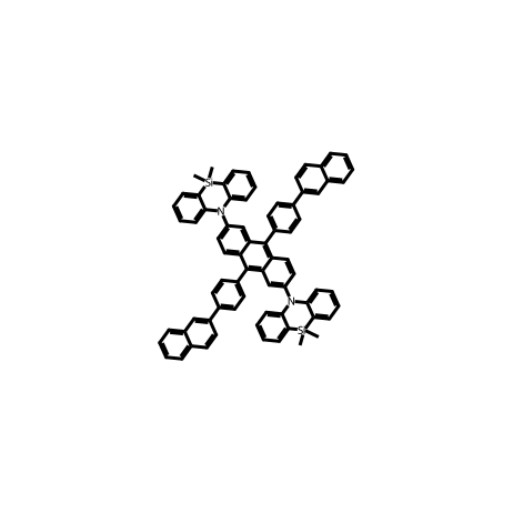 C[Si]1(C)c2ccccc2N(c2ccc3c(-c4ccc(-c5ccc6ccccc6c5)cc4)c4cc(N5c6ccccc6[Si](C)(C)c6ccccc65)ccc4c(-c4ccc(-c5ccc6ccccc6c5)cc4)c3c2)c2ccccc21